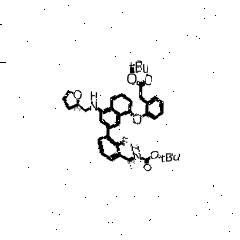 C[C@@H](NC(=O)OC(C)(C)C)c1cccc(-c2cc(NC[C@H]3CCCO3)c3c(c2)C(Oc2ccccc2CC(=O)OC(C)(C)C)CCC3)c1F